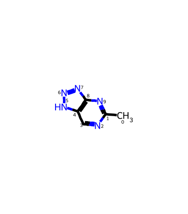 Cc1ncc2[nH]nnc2n1